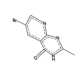 Cc1nc2ncc(Br)cc2c(=O)[nH]1